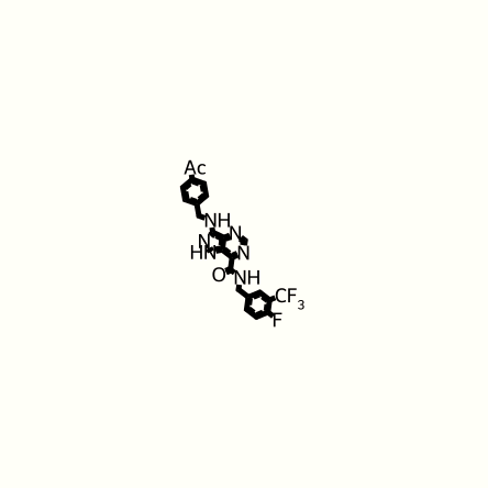 CC(=O)c1ccc(CNc2n[nH]c3c(C(=O)NCc4ccc(F)c(C(F)(F)F)c4)ncnc23)cc1